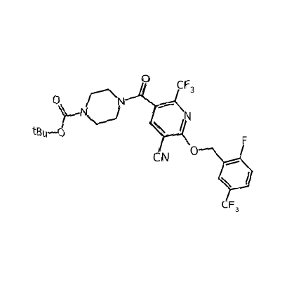 CC(C)(C)OC(=O)N1CCN(C(=O)c2cc(C#N)c(OCc3cc(C(F)(F)F)ccc3F)nc2C(F)(F)F)CC1